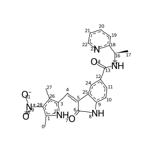 Cc1[nH]c(/C=C2\C(=O)Nc3ccc(C(=O)N[C@H](C)c4ccccn4)cc32)c(C)c1[N+](=O)[O-]